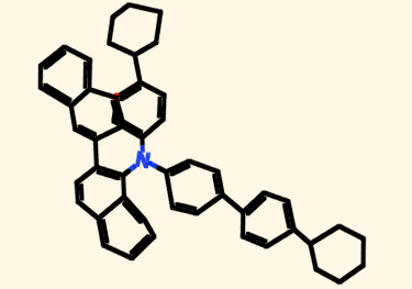 c1ccc2cc(-c3ccc4ccccc4c3N(c3ccc(-c4ccc(C5CCCCC5)cc4)cc3)c3ccc(C4CCCCC4)cc3)ccc2c1